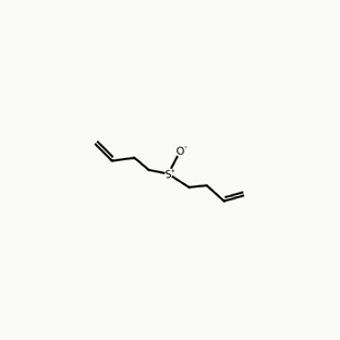 C=CCC[S+]([O-])CCC=C